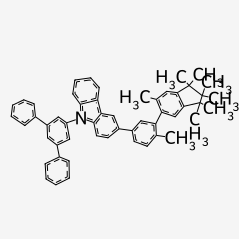 Cc1ccc(-c2ccc3c(c2)c2ccccc2n3-c2cc(-c3ccccc3)cc(-c3ccccc3)c2)cc1-c1cc2c(cc1C)C(C)(C)C(C)(C)C2(C)C